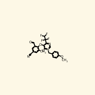 COc1ccc(Cn2cnc(C(F)(F)C(F)F)c(Oc3c(C)cc(C#N)cc3C=O)c2=O)cc1